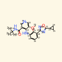 [2H]C([2H])([2H])NC(=O)c1cnccc1Nc1cccc(-c2noc(C3CC3)n2)c1OC